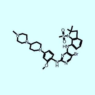 COc1cc(N2CCC(N3CCN(C)CC3)CC2)ccc1Nc1ncc(Br)c(Nc2cccc3c2N(S(C)(=O)=O)C(C)(C)C3)n1